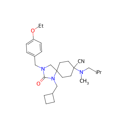 CCOc1ccc(CN2CC3(CCC(C#N)(N(C)CC(C)C)CC3)N(CC3CCC3)C2=O)cc1